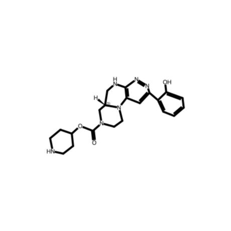 O=C(OC1CCNCC1)N1CCN2c3cc(-c4ccccc4O)nnc3NC[C@H]2C1